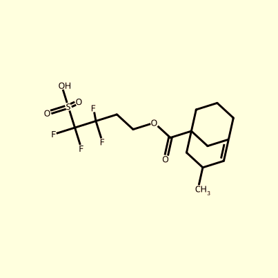 CC1C=C2CCCC(C(=O)OCCC(F)(F)C(F)(F)S(=O)(=O)O)(C2)C1